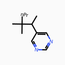 CCCC(C)(C)C(C)c1cncnc1